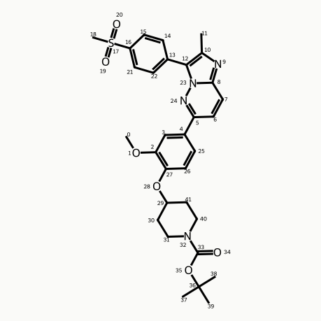 COc1cc(-c2ccc3nc(C)c(-c4ccc(S(C)(=O)=O)cc4)n3n2)ccc1OC1CCN(C(=O)OC(C)(C)C)CC1